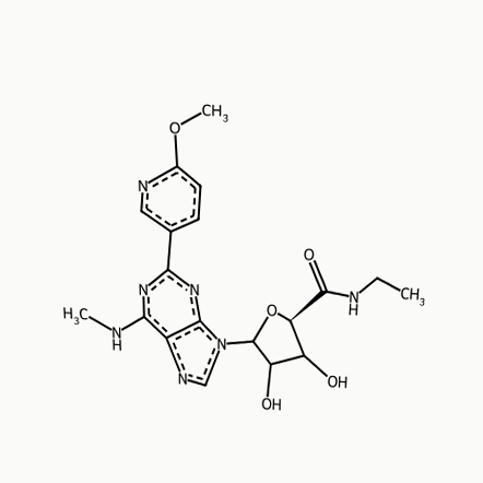 CCNC(=O)[C@@H]1OC(n2cnc3c(NC)nc(-c4ccc(OC)nc4)nc32)C(O)C1O